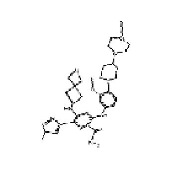 COc1cc(Nc2nc(NC3CC4(COC4)C3)c(C3=CC(C)N=N3)nc2C(N)=O)ccc1N1CCC(N2CCN(C)CC2)CC1